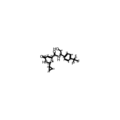 O=C(NC(CO)c1ccc(C(F)(F)F)cc1)c1cc(=O)[nH]c(C2CC2)n1